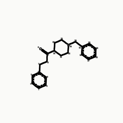 O=C(CCc1ccccc1)C1CCN(Cc2ccccc2)CC1